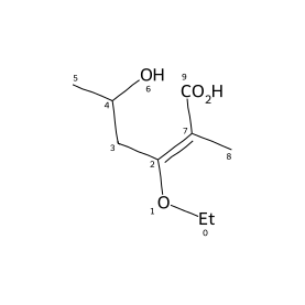 CCOC(CC(C)O)=C(C)C(=O)O